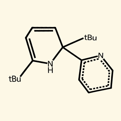 CC(C)(C)C1=CC=CC(c2ccccn2)(C(C)(C)C)N1